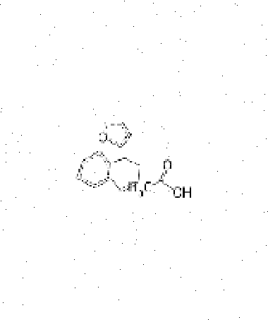 C1=Cc2ccccc2CC1.CC(=O)O.c1ccoc1